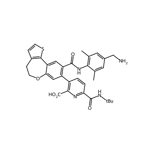 Cc1cc(CN)cc(C)c1NC(=O)c1cc2c(cc1-c1ccc(C(=O)NC(C)(C)C)nc1C(=O)O)OCCc1ccsc1-2